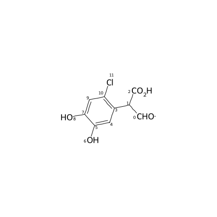 O=[C]C(C(=O)O)c1cc(O)c(O)cc1Cl